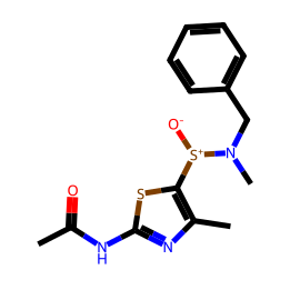 CC(=O)Nc1nc(C)c([S+]([O-])N(C)Cc2ccccc2)s1